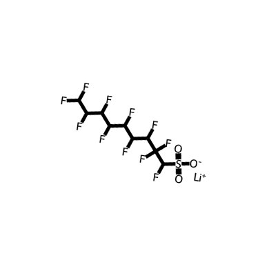 O=S(=O)([O-])C(F)C(F)(F)C(F)C(F)C(F)C(F)C(F)C(F)C(F)F.[Li+]